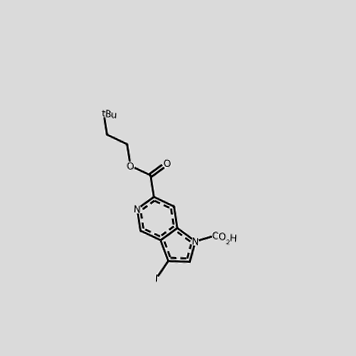 CC(C)(C)CCOC(=O)c1cc2c(cn1)c(I)cn2C(=O)O